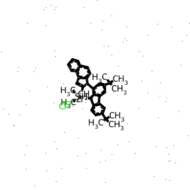 CC1=Cc2c(ccc3ccccc23)C1c1cc(C(C)(C)C)cc2c1[CH]([Zr+2][SiH](C)C)c1ccc(C(C)(C)C)cc1-2.[Cl-].[Cl-]